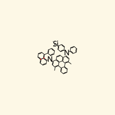 Cc1cc(N(c2ccccc2)c2ccc([Si](C)(C)C)cc2)c2ccc3c(N(c4ccccc4)c4ccccc4-c4ccccc4)cc(C)c4c5ccccc5c1c2c34